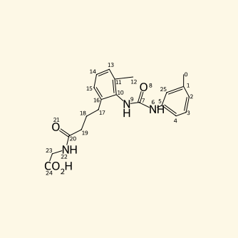 Cc1cccc(NC(=O)Nc2c(C)cccc2CCCC(=O)NCC(=O)O)c1